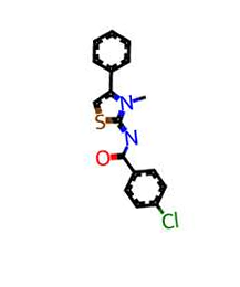 Cn1c(-c2ccccc2)csc1=NC(=O)c1ccc(Cl)cc1